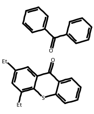 CCc1cc(CC)c2sc3ccccc3c(=O)c2c1.O=C(c1ccccc1)c1ccccc1